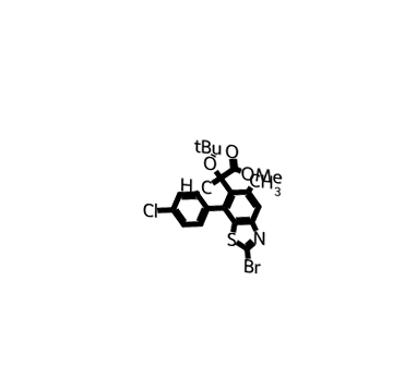 COC(=O)C(C)(OC(C)(C)C)c1c(C)cc2nc(Br)sc2c1-c1ccc(Cl)cc1